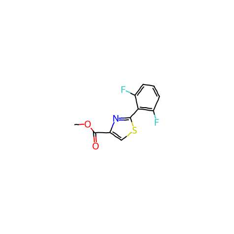 COC(=O)c1csc(-c2c(F)cccc2F)n1